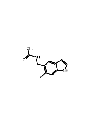 CC(=O)NCc1cc2cc[nH]c2cc1F